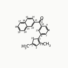 CC1=CC(C)=C(c2cccc(C(=O)c3ccc4ccccc4c3)c2)C1